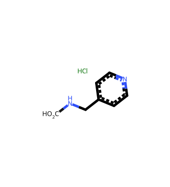 Cl.O=C(O)NCc1ccncc1